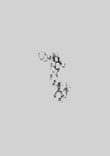 Cc1ncc(N2CC3(CCN(c4cnc5cnn(C6CCOC6)c5n4)C3)C2)c(C(F)(F)F)n1